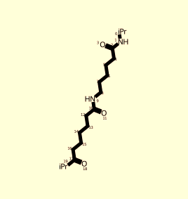 CC(C)NC(=O)CCCCCNC(=O)CCCCCC(=O)C(C)C